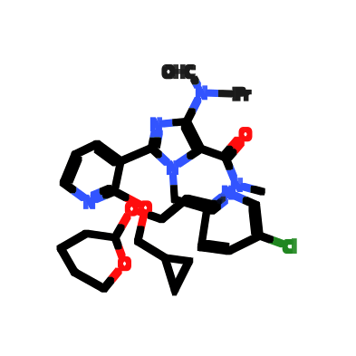 CC(C)N(C=O)c1nc(-c2cccnc2OCC2CC2)n(Cc2ccc(Cl)cn2)c1C(=O)N(C)CCCOC1CCCCO1